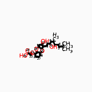 CC(C)=CCCC(C)CC(O)/C=C/C1C(O)CC2Oc3c(OCC(=O)O)cccc3OC21